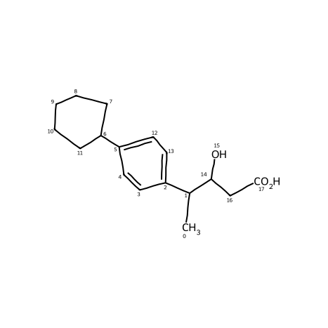 CC(c1ccc(C2CCCCC2)cc1)C(O)CC(=O)O